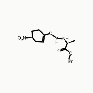 CC(C)OC(=O)[C@H](C)NPOC1=CC[C@@H]([N+](=O)[O-])CC1